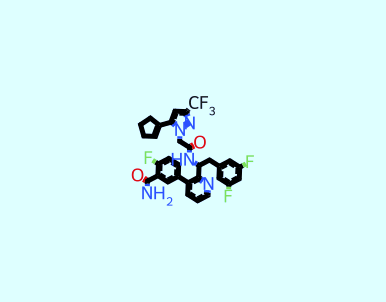 NC(=O)c1cc(-c2cccnc2C(Cc2cc(F)cc(F)c2)NC(=O)Cn2nc(C(F)(F)F)cc2C2=CCCC2)ccc1F